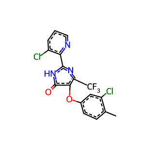 Cc1ccc(Oc2c(C(F)(F)F)nc(-c3ncccc3Cl)[nH]c2=O)cc1Cl